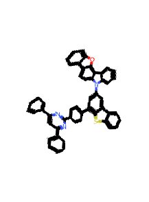 c1ccc(-c2cc(-c3ccccc3)nc(-c3ccc(-c4cc(-n5c6ccccc6c6c7oc8ccccc8c7ccc65)cc5c4sc4ccccc45)cc3)n2)cc1